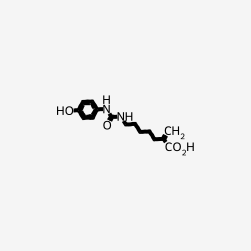 C=C(CCCCCNC(=O)Nc1ccc(O)cc1)C(=O)O